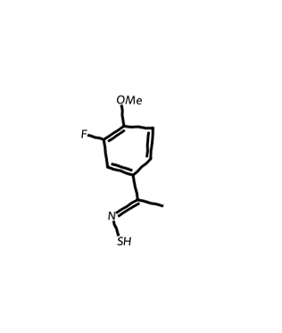 COc1ccc(/C(C)=N/S)cc1F